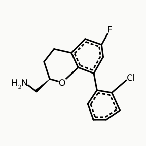 NC[C@H]1CCc2cc(F)cc(-c3ccccc3Cl)c2O1